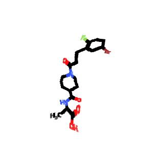 CC(NC(=O)C1CCN(C(=O)/C=C/c2cc(Br)ccc2F)CC1)C(=O)O